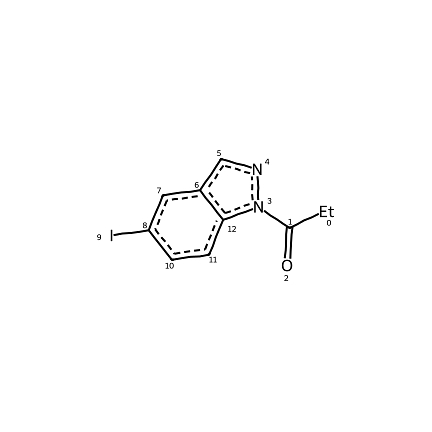 CCC(=O)n1ncc2cc(I)ccc21